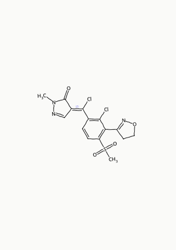 CN1N=C/C(=C(/Cl)c2ccc(S(C)(=O)=O)c(C3=NOCC3)c2Cl)C1=O